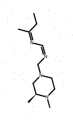 CC/C(C)=N\C=N/CN1CCN(C)[C@@H](C)C1